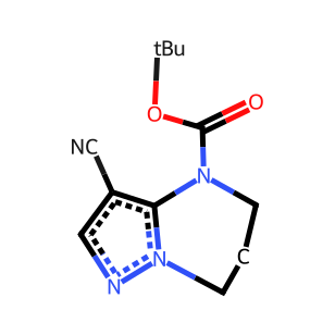 CC(C)(C)OC(=O)N1CCCn2ncc(C#N)c21